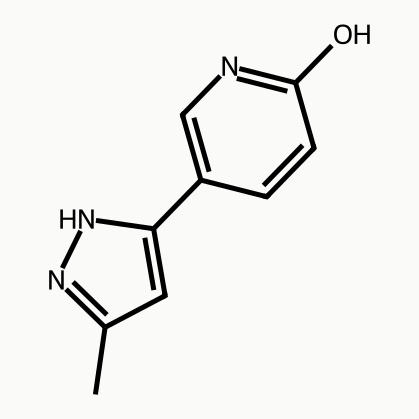 Cc1cc(-c2ccc(O)nc2)[nH]n1